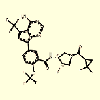 Nc1ncnn2c(-c3ccc(OC(F)(F)F)c(C(=O)N[C@@H]4CN(C(=O)C5CC5(F)F)C[C@@H]4F)c3)cc(C(F)(F)F)c12